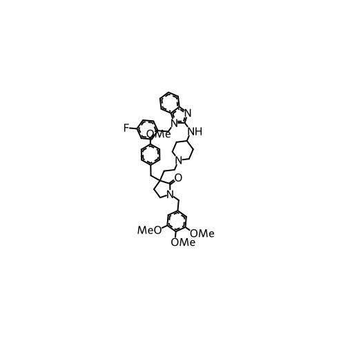 COc1ccc(CC2(CCN3CCC(Nc4nc5ccccc5n4Cc4ccc(F)cc4)CC3)CCN(Cc3cc(OC)c(OC)c(OC)c3)C2=O)cc1